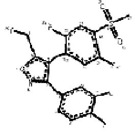 Cc1ccc(-c2noc(CF)c2-c2cc(F)c(S(C)(=O)=O)cc2F)cc1C